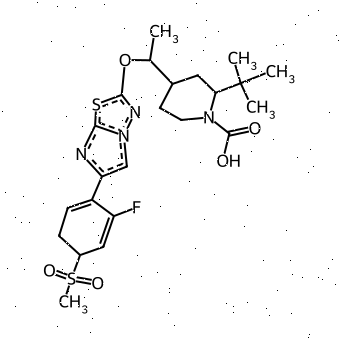 CC(Oc1nn2cc(C3=CCC(S(C)(=O)=O)C=C3F)nc2s1)C1CCN(C(=O)O)C(C(C)(C)C)C1